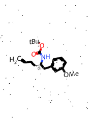 C=CCC[C@@H](Cc1cccc(OC)c1)NC(=O)OC(C)(C)C